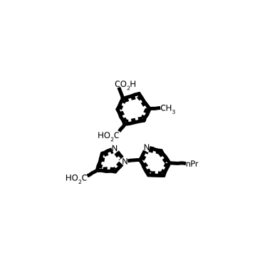 CCCc1ccc(-n2cc(C(=O)O)cn2)nc1.Cc1cc(C(=O)O)cc(C(=O)O)c1